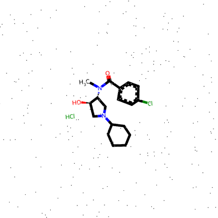 CN(C(=O)c1ccc(Cl)cc1)[C@@H]1CN(C2CCCCC2)C[C@H]1O.Cl